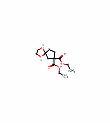 CCOC(=O)C1(C(=O)OCC)CCC2(C1)OCCO2